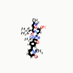 Cc1cc([C@@H](C(=O)N2C[C@H](O)C[C@H]2C2=NC(=O)[C@](C)(c3ccc(-c4cccc(=O)n4C)cc3)N2)C(C)C)on1